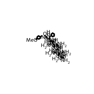 COc1ccc(/C=N/C(O)C(=O)NC(C(=O)NC(NC(=N)N)C(=O)NC(NC(=N)N)C(=O)NC(NC(=N)N)C(=O)NC(NC(=N)N)C(=O)NC(N)C(N)=O)c2ccccc2)cc1